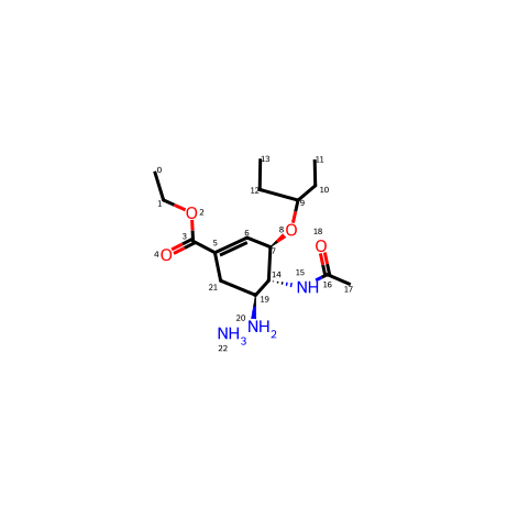 CCOC(=O)C1=C[C@@H](OC(CC)CC)[C@H](NC(C)=O)[C@@H](N)C1.N